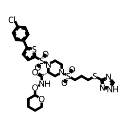 O=C(NOC1CCCCO1)[C@H]1CN(S(=O)(=O)CCCSc2nc[nH]n2)CCN1S(=O)(=O)c1ccc(-c2ccc(Cl)cc2)s1